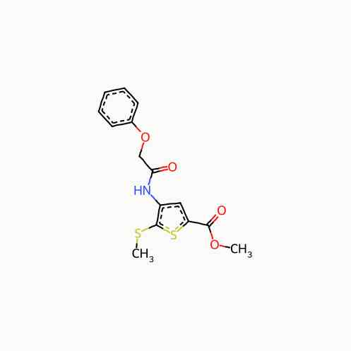 COC(=O)c1cc(NC(=O)COc2ccccc2)c(SC)s1